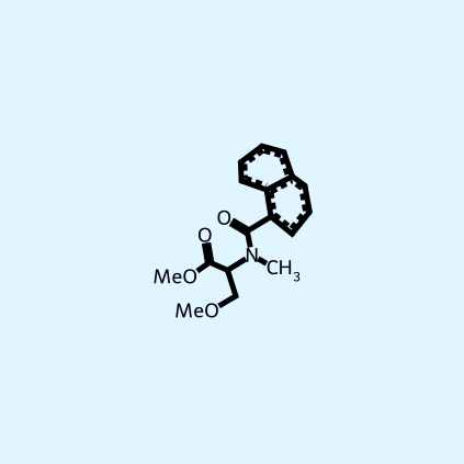 COCC(C(=O)OC)N(C)C(=O)c1cccc2ccccc12